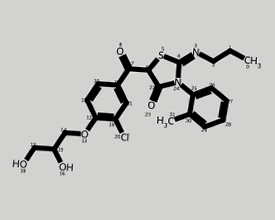 CCC/N=C1/SC(C(=O)c2ccc(OCC(O)CO)c(Cl)c2)C(=O)N1c1ccccc1C